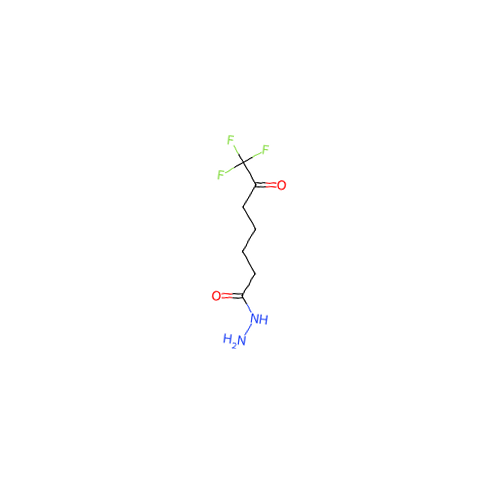 NNC(=O)CCCCC(=O)C(F)(F)F